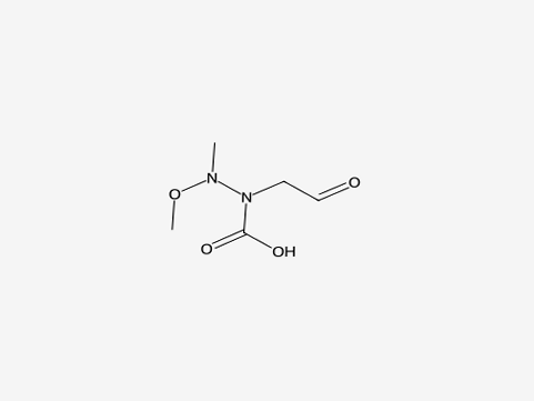 CON(C)N(CC=O)C(=O)O